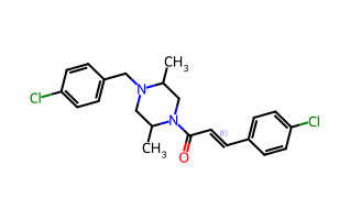 CC1CN(C(=O)/C=C/c2ccc(Cl)cc2)C(C)CN1Cc1ccc(Cl)cc1